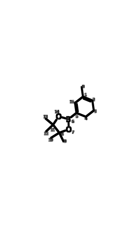 CC1=CCCC(B2OC(C)(C)C(C)(C)O2)=C1